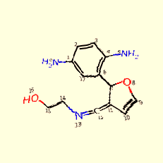 Nc1ccc(N)c(C2OC=CC2=C=NCCO)c1